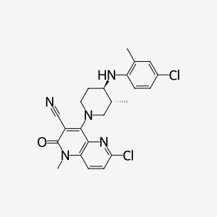 Cc1cc(Cl)ccc1N[C@@H]1CCN(c2c(C#N)c(=O)n(C)c3ccc(Cl)nc23)C[C@H]1C